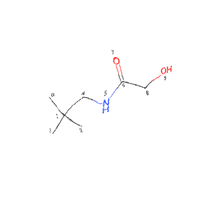 CC(C)(C)CNC(=O)CO